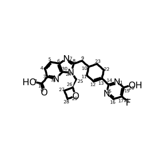 O=C(O)c1ccc2nc(CC3CC=C(c4ncc(F)c(O)n4)CC3)n(C[C@@H]3CCO3)c2n1